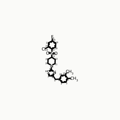 Cc1ccc(Cc2csc(N3CCC(S(=O)(=O)c4ccc(F)cc4Cl)CC3)n2)cc1C